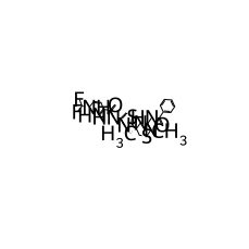 CN1SC[C@@](C)(c2nc(NC(=O)C(=N)/C=C\NC(F)F)cs2)N=C1NC(=O)c1ccccc1